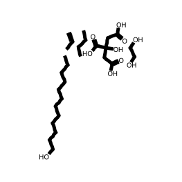 C=CC.CCCC.CCCCCCCCCCCCO.O=C(O)CC(O)(CC(=O)O)C(=O)O.OCCO